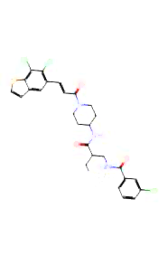 O=C(O)CC(CNC(=O)c1cccc(Cl)c1)C(=O)NC1CCN(C(=O)C=Cc2cc3ccsc3c(Cl)c2Cl)CC1